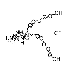 Nc1nc(N)c(C(=O)NC2CCC[N+](CCCc3ccc(OCCOCCOCCOCCO)cc3)(CCCc3ccc(OCCOCCOCCOCCO)cc3)C2)nc1Cl.[Cl-]